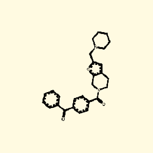 O=C(c1ccccc1)c1ccc(C(=O)N2CCc3cc(CN4CCCCC4)oc3C2)cc1